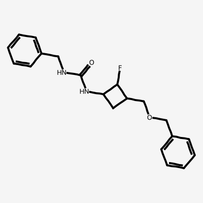 O=C(NCc1ccccc1)NC1CC(COCc2ccccc2)C1F